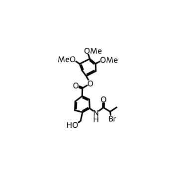 COc1cc(OC(=O)c2ccc(CO)c(NC(=O)C(C)Br)c2)cc(OC)c1OC